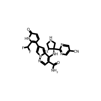 CC[C@H]1CNC[C@]1(Nc1c(C(N)=O)cnn2cc(-c3ccc(=O)[nH]c3C(F)F)cc12)c1ncc(C#N)cn1